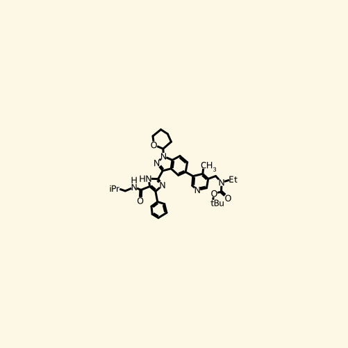 CCN(Cc1cncc(-c2ccc3c(c2)c(-c2nc(-c4ccccc4)c(C(=O)NCC(C)C)[nH]2)nn3C2CCCCO2)c1C)C(=O)OC(C)(C)C